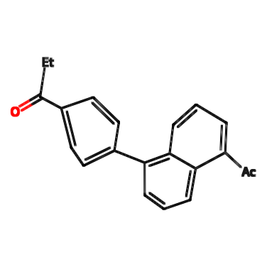 CCC(=O)c1ccc(-c2cccc3c(C(C)=O)cccc23)cc1